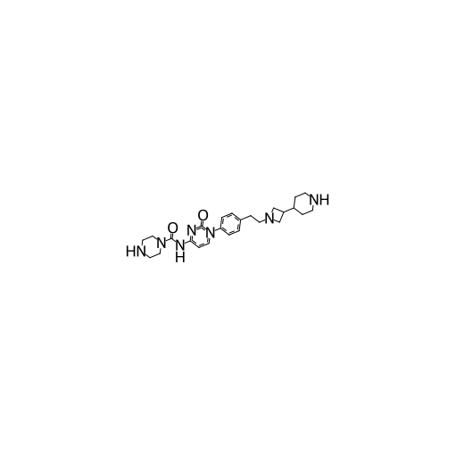 O=C(Nc1ccn(-c2ccc(CCN3CC(C4CCNCC4)C3)cc2)c(=O)n1)N1CCNCC1